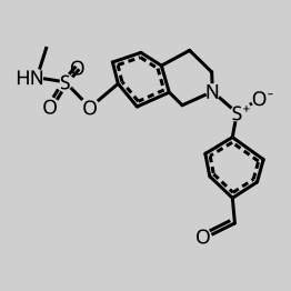 CNS(=O)(=O)Oc1ccc2c(c1)CN([S+]([O-])c1ccc(C=O)cc1)CC2